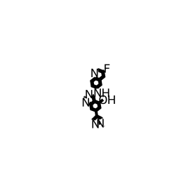 Cn1cc(-c2cc(O)c3c(Nc4ccc5ncc(F)cc5c4)ncnc3c2)cn1